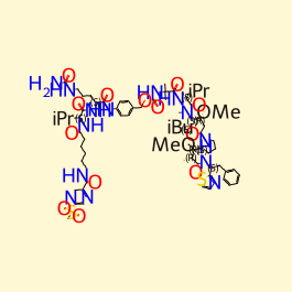 CC[C@H](C)[C@@H]([C@@H](CC(=O)N1CCC[C@H]1[C@H](OC)[C@@H](C)C(=O)N[C@@H](Cc1ccccc1)c1nccs1)OC)N(C)C(=O)[C@@H](NC(=O)C(C)(C)NC(=O)OCc1ccc(NC(=O)[C@H](CCCNC(N)=O)NC(=O)[C@@H](NC(=O)CCCCCNC(=O)c2cnc(S(C)(=O)=O)cn2)C(C)C)cc1)C(C)C